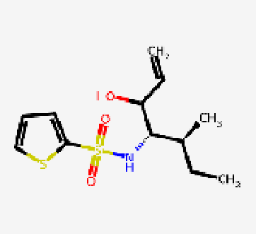 C=CC(O)[C@@H](NS(=O)(=O)c1cccs1)[C@@H](C)CC